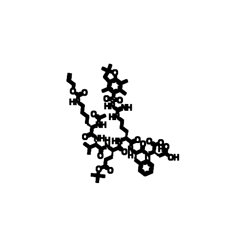 C=CCOC(=O)NCCCC[C@H](NC(C)=O)C(=O)N[C@H](C(=O)N[C@@H](CCC(=O)OC(C)(C)C)C(=O)N[C@@H](CCCNC(=N)NS(=O)(=O)c1c(C)c(C)c2c(c1C)CC(C)(C)O2)C(=O)N[C@@H](Cc1ccccc1)C(=O)N[C@@H](CC(=O)O)C(=O)O)C(C)C